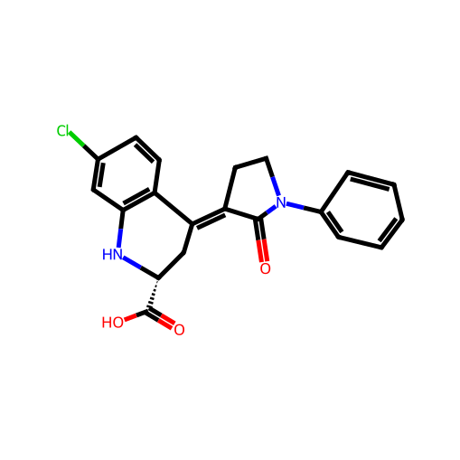 O=C(O)[C@H]1C/C(=C2/CCN(c3ccccc3)C2=O)c2ccc(Cl)cc2N1